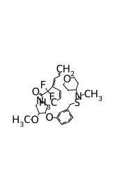 C=C/C=C(\C=C/C)C(F)(F)C(=O)N1CC(OC)C(Oc2cccc(CSN(C)C3CCOCC3)c2)C1